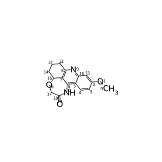 COc1ccc2c3c4c(nc2c1)CCCC4OCC(=O)N3